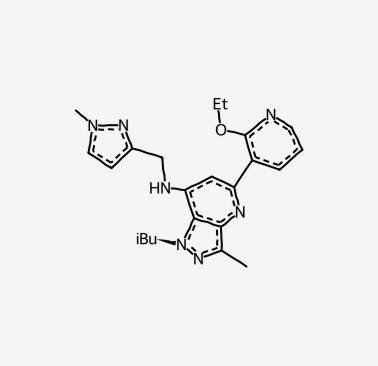 CCOc1ncccc1-c1cc(NCc2ccn(C)n2)c2c(n1)c(C)nn2[C@H](C)CC